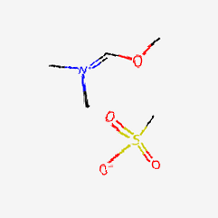 COC=[N+](C)C.CS(=O)(=O)[O-]